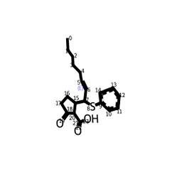 CCCCC/C=C/C(Sc1ccccc1)C1CCC(=O)C1C(=O)O